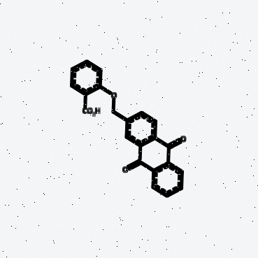 O=C(O)c1ccccc1OCc1ccc2c(c1)C(=O)c1ccccc1C2=O